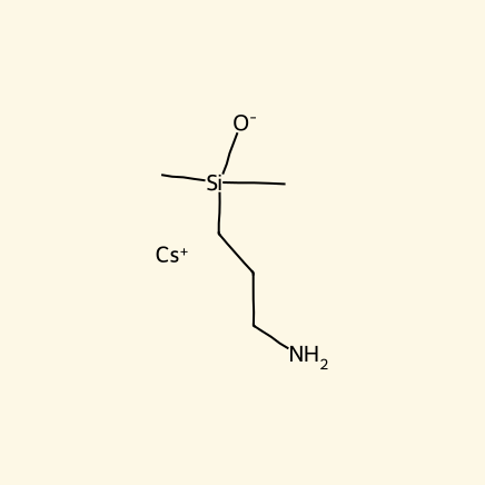 C[Si](C)([O-])CCCN.[Cs+]